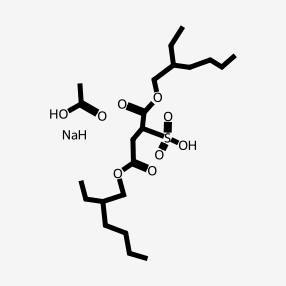 CC(=O)O.CCCCC(CC)COC(=O)CC(C(=O)OCC(CC)CCCC)S(=O)(=O)O.[NaH]